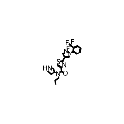 CCCN(C(=O)c1csc(-c2cnn(-c3ccccc3C(F)(F)F)c2)n1)[C@H]1CCNC1